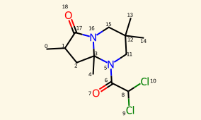 CC1CC2(C)N(C(=O)C(Cl)Cl)CC(C)(C)CN2C1=O